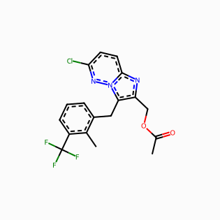 CC(=O)OCc1nc2ccc(Cl)nn2c1Cc1cccc(C(F)(F)F)c1C